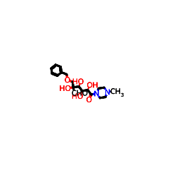 CN1CCN(C(=O)[C@H](O)[C@@H](O)[C@H](O)C(O)(C=O)COCc2ccccc2)CC1